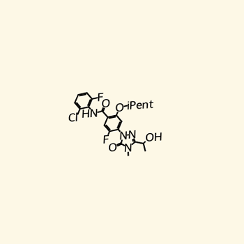 CCCC(C)Oc1cc(-n2nc(C(C)O)n(C)c2=O)c(F)cc1C(=O)Nc1c(F)cccc1Cl